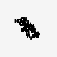 CC(C)Nc1c(C(=O)NCC(F)C(C)(C)O)cnn2cc(-c3ccnn3C)cc12